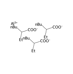 CCCCC(CC)C(=O)[O-].CCCCC(CC)C(=O)[O-].CCCCC(CC)C(=O)[O-].[Al+3]